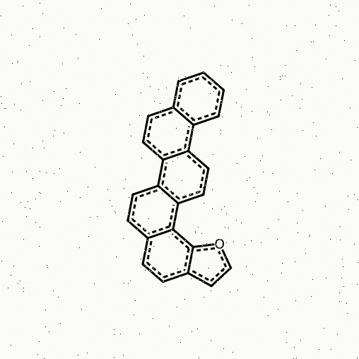 c1ccc2c(c1)ccc1c2ccc2c1ccc1ccc3ccoc3c12